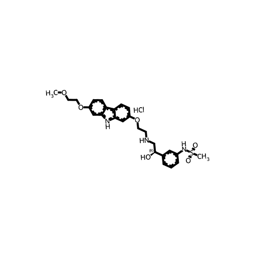 COCCOc1ccc2c(c1)[nH]c1cc(OCCNC[C@H](O)c3cccc(NS(C)(=O)=O)c3)ccc12.Cl